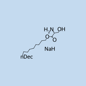 CCCCCCCCCCCCCCCCCCOC(=O)[C@@H](N)CO.[NaH]